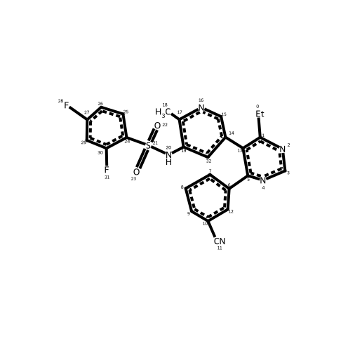 CCc1ncnc(-c2cccc(C#N)c2)c1-c1cnc(C)c(NS(=O)(=O)c2ccc(F)cc2F)c1